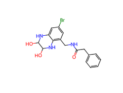 O=C(Cc1ccccc1)NCc1cc(Br)cc2c1NC(O)C(O)N2